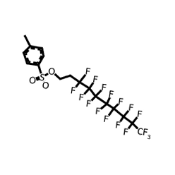 Cc1ccc(S(=O)(=O)OCCC(F)(F)C(F)(F)C(F)(F)C(F)(F)C(F)(F)C(F)(F)C(F)(F)C(F)(F)F)cc1